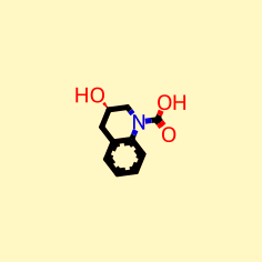 O=C(O)N1C[C@@H](O)Cc2ccccc21